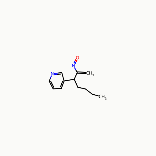 C=C(N=O)C(CCCC)c1cccnc1